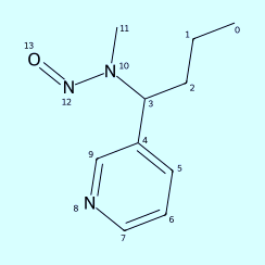 CCCC(c1cccnc1)N(C)N=O